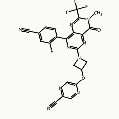 Cn1c(C(F)(F)F)nc2c(-c3ccc(C#N)cc3F)nc(N3CC(Oc4cnc(C#N)cn4)C3)nc2c1=O